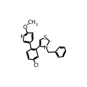 COc1ccc(-c2ccc(Cl)cc2C2=CS[CH]N2Cc2ccccc2)cn1